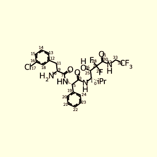 CC(C)[C@H](NC(=O)[C@@H](NC(=O)[C@@H](N)Cc1cccc(Cl)c1)c1ccccc1)[C@@H](O)C(F)(F)C(=O)NCC(F)(F)F